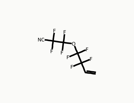 C=CC(F)(F)C(F)(F)OC(F)(F)C(F)(F)C#N